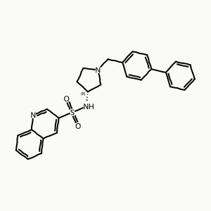 O=S(=O)(N[C@@H]1CCN(Cc2ccc(-c3ccccc3)cc2)C1)c1cnc2ccccc2c1